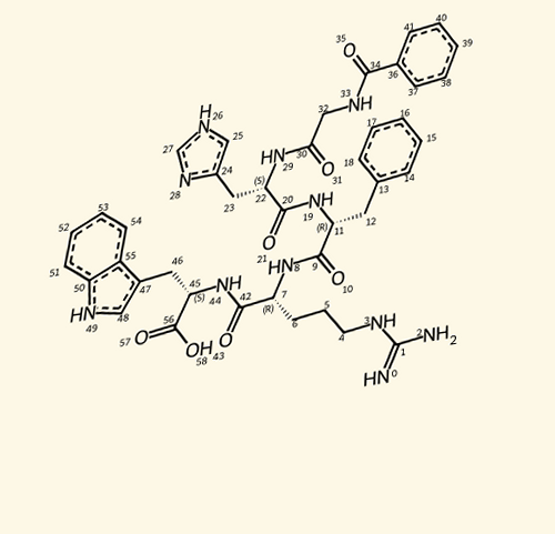 N=C(N)NCCC[C@@H](NC(=O)[C@@H](Cc1ccccc1)NC(=O)[C@H](Cc1c[nH]cn1)NC(=O)CNC(=O)c1ccccc1)C(=O)N[C@@H](Cc1c[nH]c2ccccc12)C(=O)O